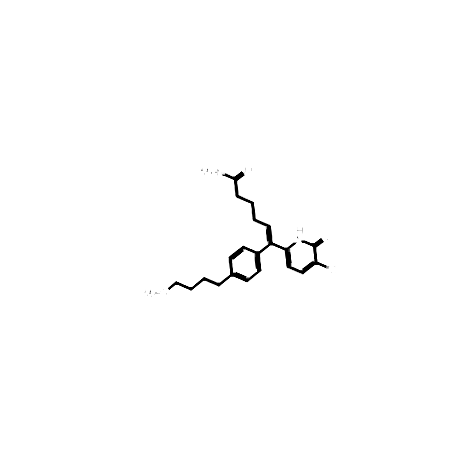 CNC(=O)CCC/C=C(\c1ccc(CCCCOC)cc1)c1ccc(Cl)c(=O)[nH]1